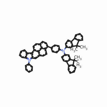 CC1(C)c2ccccc2-c2ccc(N(c3ccc(-c4ccc5ccc6c7c(ccc4c57)cc4c6c5ccccc5n4-c4ccccc4)cc3)c3ccc4c(c3)C(C)(C)c3ccccc3-4)cc21